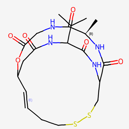 CC(C)C1NC(=O)CC2/C=C/CCSSCC(NC1=O)C(=O)N[C@H](C)C(=O)NCC(=O)O2